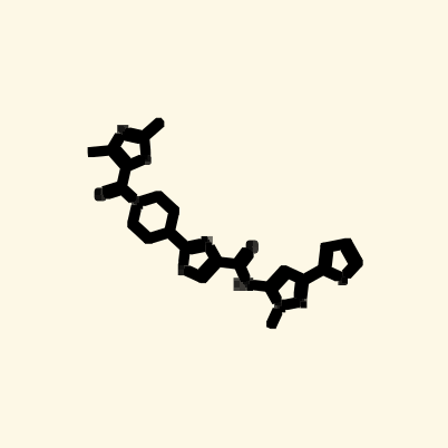 Cc1nc(C)c(C(=O)N2CCC(c3nc(C(=O)Nc4cc(-c5cccs5)nn4C)cs3)CC2)s1